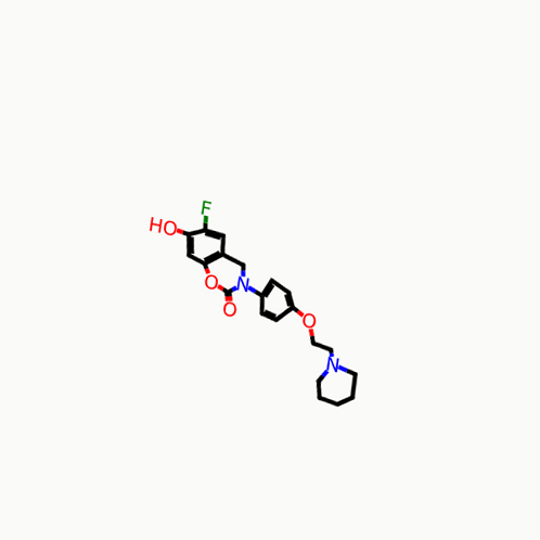 O=C1Oc2cc(O)c(F)cc2CN1c1ccc(OCCN2CCCCC2)cc1